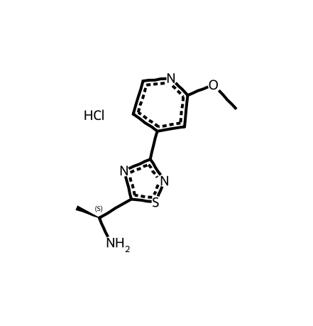 COc1cc(-c2nsc([C@H](C)N)n2)ccn1.Cl